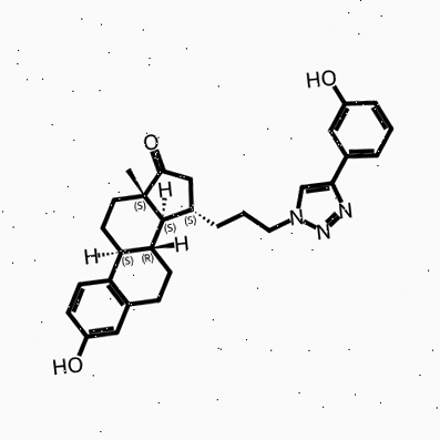 C[C@]12CC[C@@H]3c4ccc(O)cc4CC[C@H]3[C@@H]1[C@@H](CCCn1cc(-c3cccc(O)c3)nn1)CC2=O